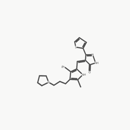 Cc1[nH]c(C=C2C(=O)NN=C2c2cccs2)c(C(C)C)c1CCCN1CCCC1